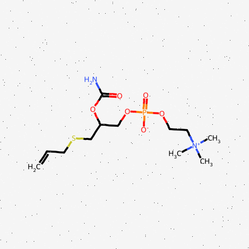 C=CCSCC(COP(=O)([O-])OCC[N+](C)(C)C)OC(N)=O